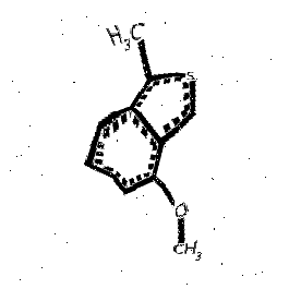 COc1cccc2c(C)scc12